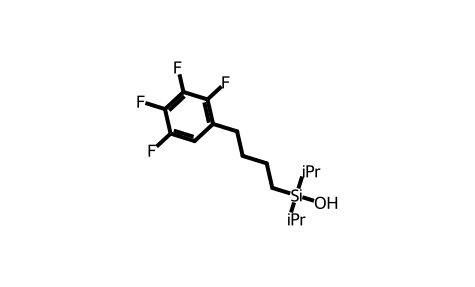 CC(C)[Si](O)(CCCCc1cc(F)c(F)c(F)c1F)C(C)C